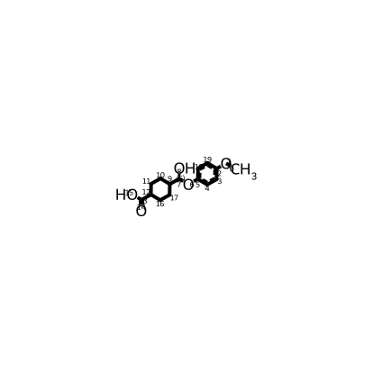 COc1ccc(O[C@H](O)C2CCC(C(=O)O)CC2)cc1